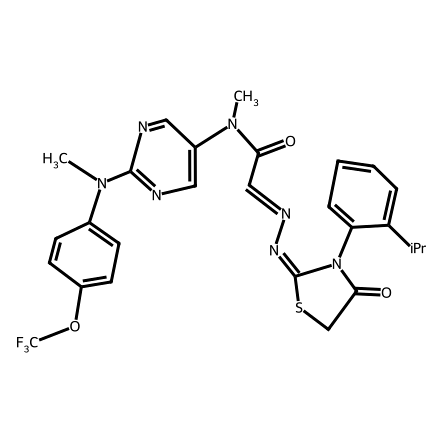 CC(C)c1ccccc1N1C(=O)CS/C1=N/N=C/C(=O)N(C)c1cnc(N(C)c2ccc(OC(F)(F)F)cc2)nc1